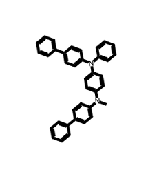 CN(c1ccc(-c2ccccc2)cc1)c1ccc(N(c2ccccc2)c2ccc(-c3ccccc3)cc2)cc1